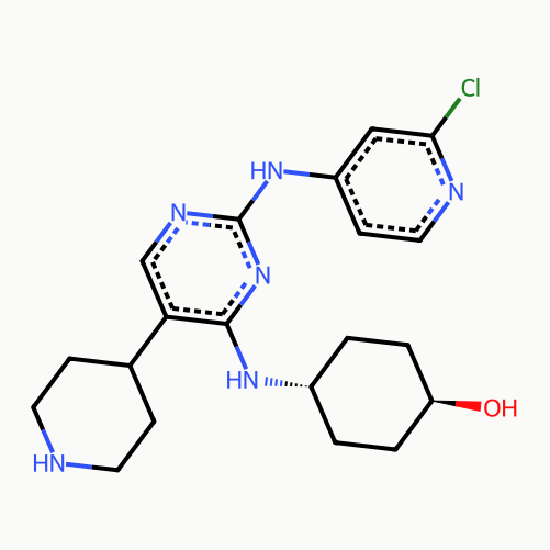 O[C@H]1CC[C@H](Nc2nc(Nc3ccnc(Cl)c3)ncc2C2CCNCC2)CC1